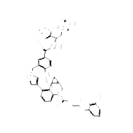 COC(=O)C(CNS(C)(=O)=O)NC(=O)c1ccc(Cl)c(Cn2cc(-c3cccc4c3[C@H]3C[C@H]3CN4C(=O)OCCOc3cccc(Cl)c3C)cn2)c1